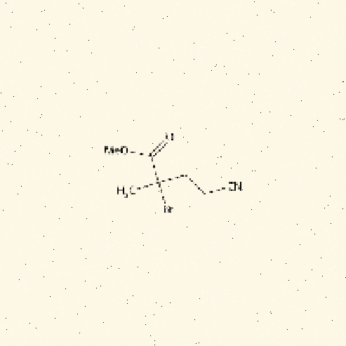 COC(=O)C(C)(Br)CCC#N